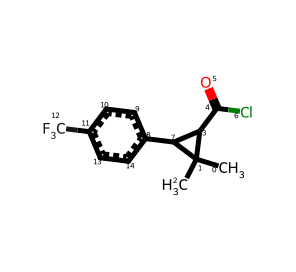 CC1(C)C(C(=O)Cl)C1c1ccc(C(F)(F)F)cc1